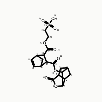 O=C1OC2C3CC(CC13)C2OC(=O)C1C2C=CC(C2)C1C(=O)OCCS(=O)(=O)O